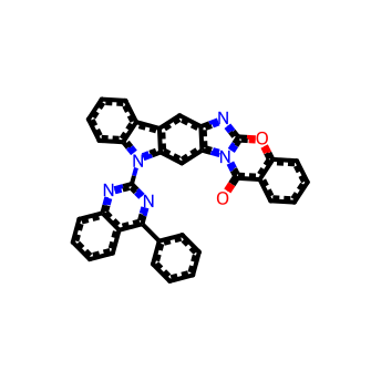 O=c1c2ccccc2oc2nc3cc4c5ccccc5n(-c5nc(-c6ccccc6)c6ccccc6n5)c4cc3n12